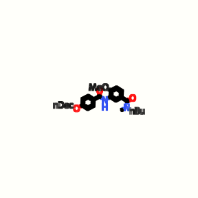 CCCCCCCCCCOc1ccc(C(=O)Nc2cc(C(=O)N(C)CCCC)ccc2OC)cc1